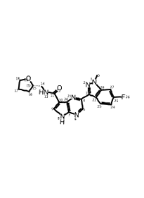 Cn1nc(-c2cnc3[nH]cc(C(=O)NC[C@@H]4CCCO4)c3n2)c2ccc(F)cc21